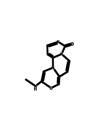 CNC1=CN2C(=CO1)C=Cn1c2ccnc1=O